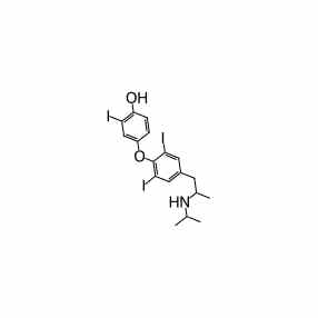 CC(C)NC(C)Cc1cc(I)c(Oc2ccc(O)c(I)c2)c(I)c1